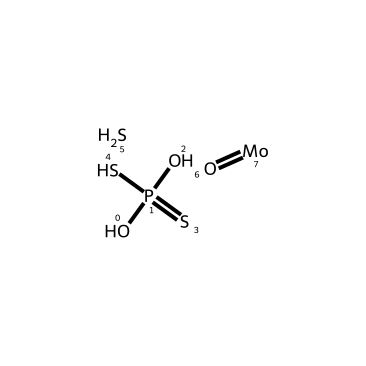 OP(O)(=S)S.S.[O]=[Mo]